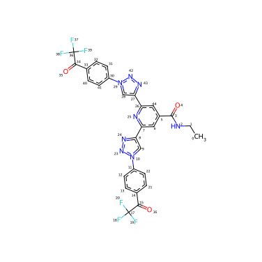 CCNC(=O)c1cc(-c2cn(-c3ccc(C(=O)C(F)(F)F)cc3)nn2)nc(-c2cn(-c3ccc(C(=O)C(F)(F)F)cc3)nn2)c1